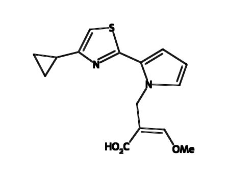 COC=C(Cn1cccc1-c1nc(C2CC2)cs1)C(=O)O